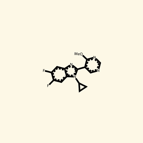 COc1ncncc1-c1nc2cc(F)c(F)cc2n1C1CC1